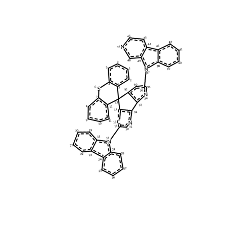 c1ccc2c(c1)Sc1ccccc1C21c2cc(-n3c4ccccc4c4ccccc43)cnc2-c2ncc(-n3c4ccccc4c4ccncc43)cc21